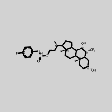 C[C@H](CCO[PH](=O)Oc1ccc(F)cc1)C1CCC2C3C(CC[C@@]21C)[C@@]1(C)CC[C@@H](O)CC1[C@@H](C(F)(F)F)[C@H]3O